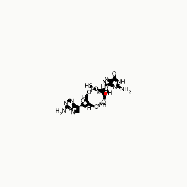 Nc1nc2c(nnn2[C@@H]2SC3OPOC[C@H]4C[C@H](c5cnn6c(N)ncnc56)O[C@@H]4COP(S)O[C@@H]2[C@@H]3O)c(=O)[nH]1